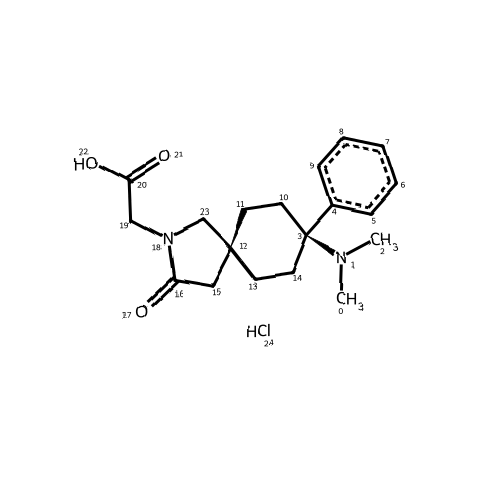 CN(C)[C@]1(c2ccccc2)CC[C@@]2(CC1)CC(=O)N(CC(=O)O)C2.Cl